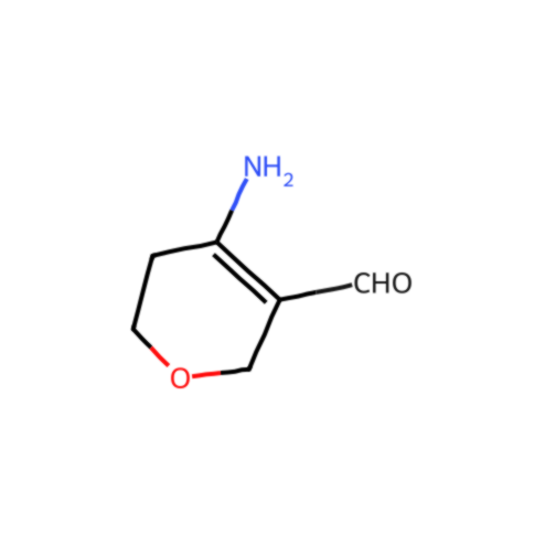 NC1=C(C=O)COCC1